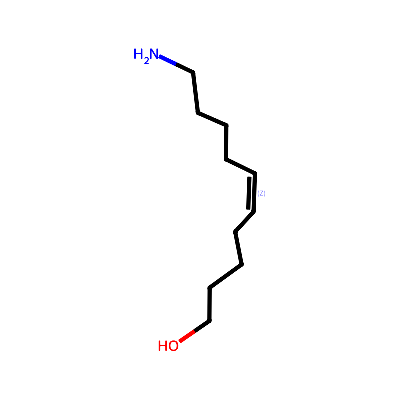 NCCCC/C=C\CCCCO